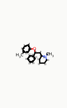 Cc1cccc(OC(CC2CCCCN2C)c2ccccc2)c1